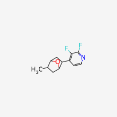 CC1CC2OC1CC2c1ccnc(F)c1F